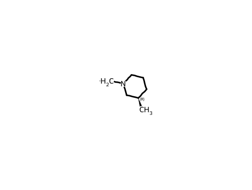 [CH2]N1CCC[C@@H](C)C1